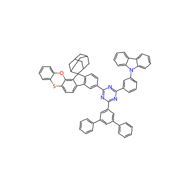 c1ccc(-c2cc(-c3ccccc3)cc(-c3nc(-c4cccc(-n5c6ccccc6c6ccccc65)c4)nc(-c4ccc5c(c4)-c4ccc6c(c4C54C5CC7CC(C5)CC4C7)Oc4ccccc4S6)n3)c2)cc1